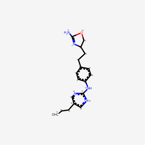 NC1=NC(CCc2ccc(Nc3ncc(CCC=O)cn3)cc2)CO1